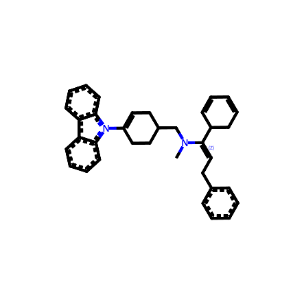 CN(CC1CC=C(n2c3ccccc3c3ccccc32)CC1)/C(=C\Cc1ccccc1)C1C=CC=CC1